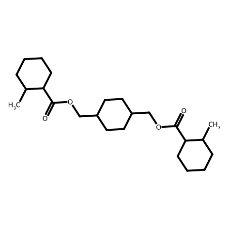 CC1CCCCC1C(=O)OCC1CCC(COC(=O)C2CCCCC2C)CC1